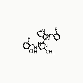 Cc1cc(NCc2c(F)cccc2Cl)nc(-c2nn(Cc3ccccc3F)c3ncccc23)n1